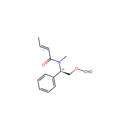 C/C=C/C(=O)N(C)[C@@H](COC=O)c1ccccc1